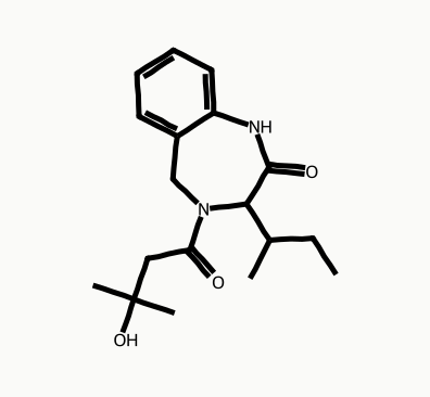 CCC(C)C1C(=O)Nc2ccccc2CN1C(=O)CC(C)(C)O